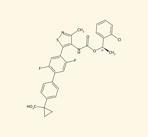 Cc1nsc(-c2cc(F)c(-c3ccc(C4(C(=O)O)CC4)cc3)cc2F)c1NC(=O)O[C@H](C)c1ccccc1Cl